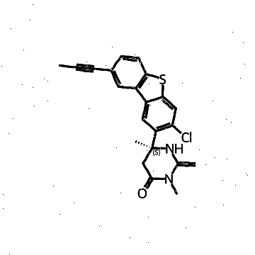 C=C1N[C@](C)(c2cc3c(cc2Cl)sc2ccc(C#CC)cc23)CC(=O)N1C